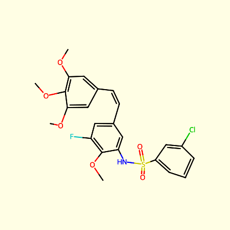 COc1cc(/C=C\c2cc(F)c(OC)c(NS(=O)(=O)c3cccc(Cl)c3)c2)cc(OC)c1OC